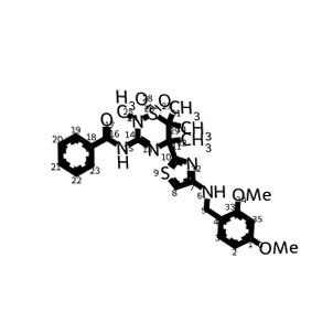 COc1ccc(CNc2csc(C3(C)N=C(NC(=O)c4ccccc4)N(C)S(=O)(=O)C3(C)C)n2)c(OC)c1